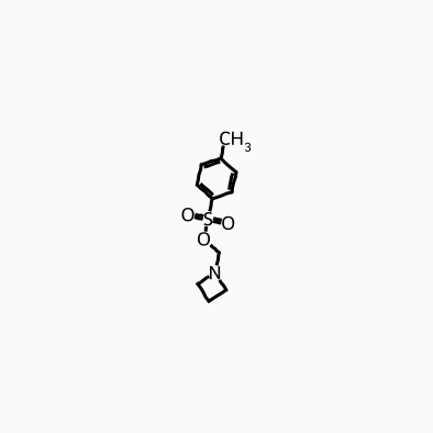 Cc1ccc(S(=O)(=O)OCN2CCC2)cc1